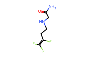 NC(=O)CNCCC(F)=C(F)F